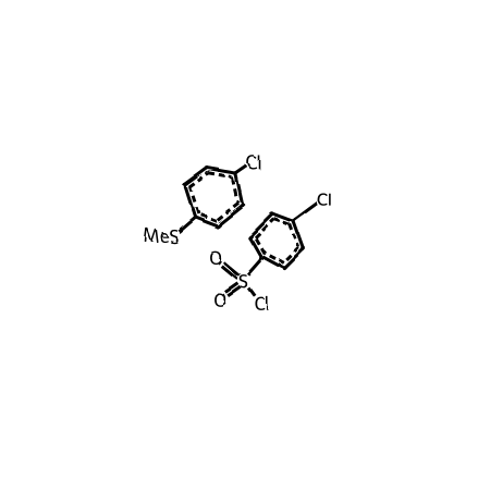 CSc1ccc(Cl)cc1.O=S(=O)(Cl)c1ccc(Cl)cc1